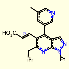 CCn1ncc2c(-c3cncc(C)c3)c(/C=C/C(=O)O)c(CC(C)C)nc21